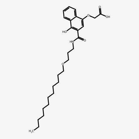 CCCCCCCCCCCCOCCCNC(=O)c1cc(OCC(=O)O)c2ccccc2c1O